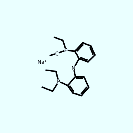 CCP(CC)c1ccccc1[N-]c1ccccc1P(CC)CC.[Na+]